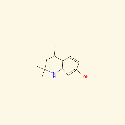 CC1CC(C)(C)Nc2cc(O)ccc21